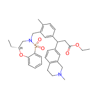 CCOC(=O)CC(c1ccc(C)c(CN2C[C@@H](CC)Oc3ccccc3S2(=O)=O)c1)c1ccc2c(c1)CN(C)CC2